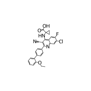 CCOc1ccccc1-c1ccc(-c2nc3cc(Cl)c(F)cc3c(NC3(C(=O)O)CC3)c2C#N)cc1